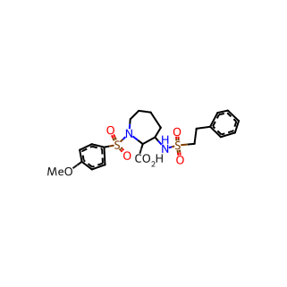 COc1ccc(S(=O)(=O)N2CCCCC(NS(=O)(=O)CCc3ccccc3)C2C(=O)O)cc1